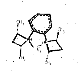 C[C@H]1C[C@H](C)[PH]1(C)c1ccccc1[PH]1(I)[C@@H](C)C[C@@H]1C